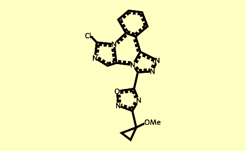 COC1(c2noc(-c3nnc4c5ccccc5n5c(Cl)ncc5n34)n2)CC1